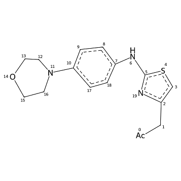 CC(=O)Cc1csc(Nc2ccc(N3CCOCC3)cc2)n1